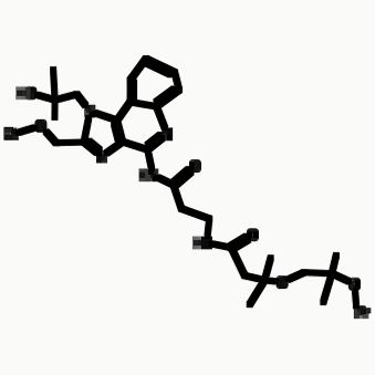 CCOCc1nc2c(NC(=O)CCNC(=O)CC(C)(C)OCC(C)(C)OC(C)C)nc3ccccc3c2n1CC(C)(C)O